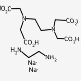 NCCN.O=C(O)CN(CCN(CC(=O)O)CC(=O)O)CC(=O)O.[Na].[Na]